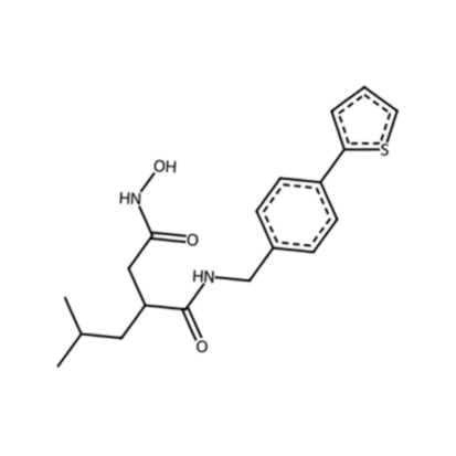 CC(C)CC(CC(=O)NO)C(=O)NCc1ccc(-c2cccs2)cc1